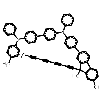 CC#CC#CC#CC#CC1(C)c2cc(C)ccc2-c2ccc(-c3ccc(N(c4ccccc4)c4ccc(-c5ccc(N(c6ccccc6)c6ccc(C)cc6)cc5)cc4)cc3)cc21